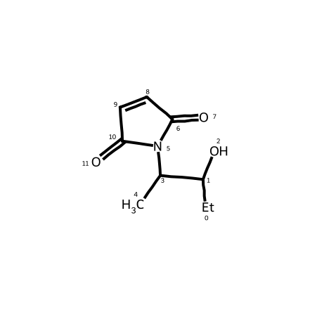 CCC(O)C(C)N1C(=O)C=CC1=O